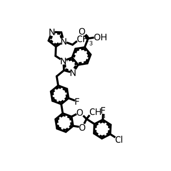 CCn1cncc1Cn1c(Cc2ccc(-c3cccc4c3OC(C)(c3ccc(Cl)cc3F)O4)c(F)c2)nc2ccc(C(=O)O)cc21